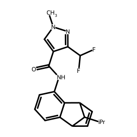 CC(C)C1C2C=CC1c1c(NC(=O)c3cn(C)nc3C(F)F)cccc12